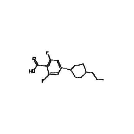 CCCC1CCC(c2cc(F)c(C(=O)O)c(F)c2)CC1